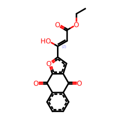 CCOC(=O)/C=C(\O)c1cc2c(o1)C(=O)c1ccccc1C2=O